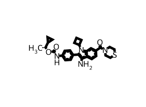 C[C@@H](OC(=O)Nc1ccc(-c2c(N)c3ccc(C(=O)N4CCSCC4)cc3n2C2CCC2)cc1)C1CC1